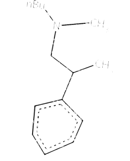 CCCCN(C)CC(C)c1ccccc1